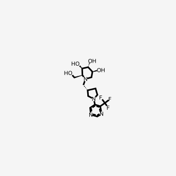 OC[C@H]1[C@@H](O)[C@H](O)[C@@H](O)CN1C[C@@H]1CCN(c2cncnc2C(F)(F)F)C1